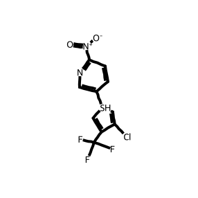 O=[N+]([O-])c1ccc([SH]2C=C(Cl)C(C(F)(F)F)=C2)cn1